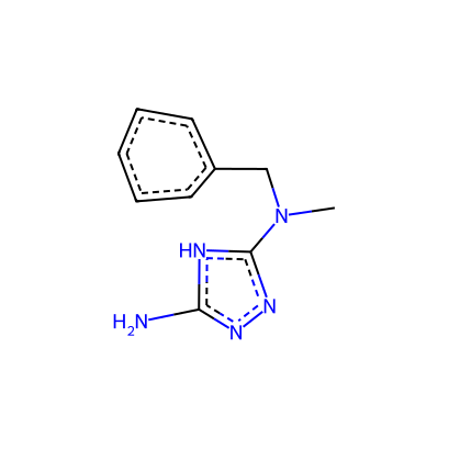 CN(Cc1ccccc1)c1nnc(N)[nH]1